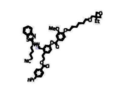 CCCc1ccc(C(=O)OCCc2ccc(OC(=O)c3ccc(OCCCCCCOCC4(CC)COC4)c(OC)c3)cc2/C=N/N(CCCCC#N)c2nc3ccccc3s2)cc1